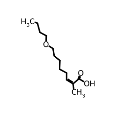 CCCCOCCCCCC=C(C)C(=O)O